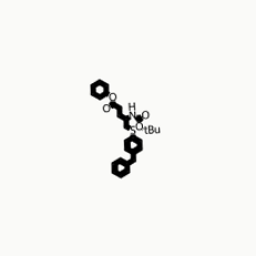 CC(C)(C)OC(=O)NC(CCC(=O)OC1CCCCC1)CSc1ccc(Cc2ccccc2)cc1